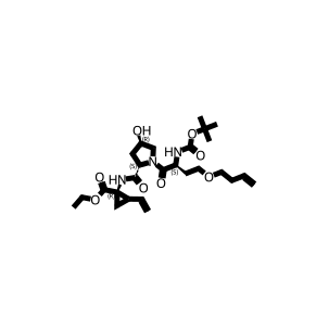 C=CCCOCC[C@H](NC(=O)OC(C)(C)C)C(=O)N1C[C@H](O)C[C@H]1C(=O)N[C@]1(C(=O)OCC)CC1C=C